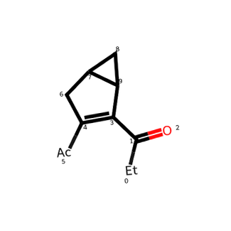 CCC(=O)C1=C(C(C)=O)CC2CC12